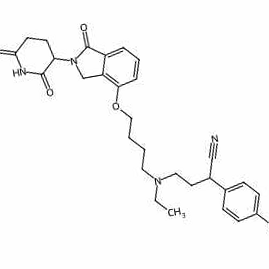 CCN(CCCCOc1cccc2c1CN(C1CCC(=O)NC1=O)C2=O)CCC(C#N)c1ccc(Cl)cc1